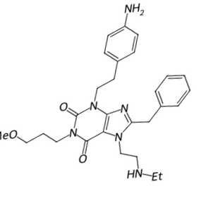 CCNCCn1c(Cc2ccccc2)nc2c1c(=O)n(CCCOC)c(=O)n2CCc1ccc(N)cc1